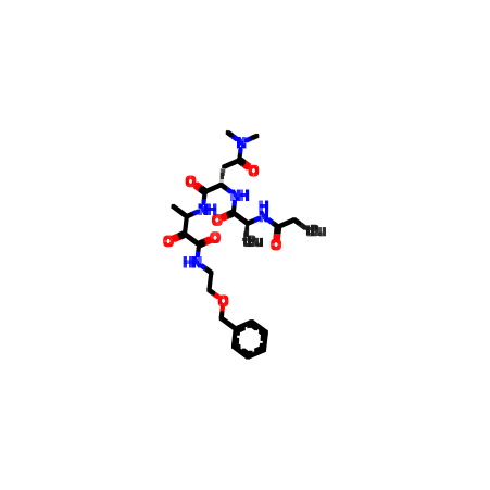 CC(NC(=O)[C@H](CC(=O)N(C)C)NC(=O)[C@@H](NC(=O)CC(C)(C)C)C(C)(C)C)C(=O)C(=O)NCCOCc1ccccc1